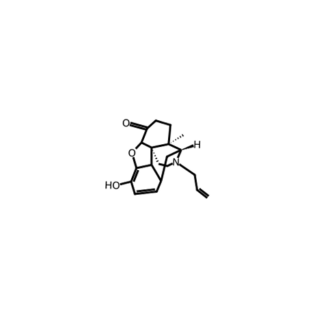 C=CCN1CC[C@]23C4OC5=C(O)C=CC(C[C@@H]1[C@]2(C)CCC4=O)C53